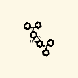 c1ccc(N(c2ccccc2)c2ccc3c(c2)Oc2cc(N(c4ccccc4)c4ccccc4)ccc2N3)cc1